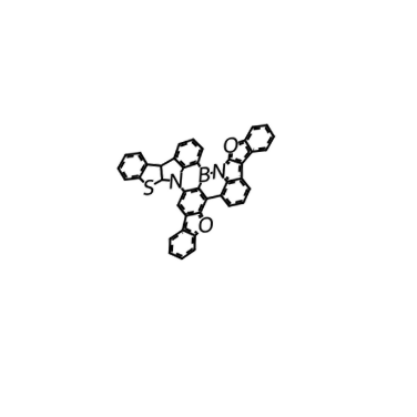 c1ccc2c(c1)SC1C2c2cccc3c2N1c1cc2c(oc4ccccc42)c2c1B3n1c3oc4ccccc4c3c3cccc-2c31